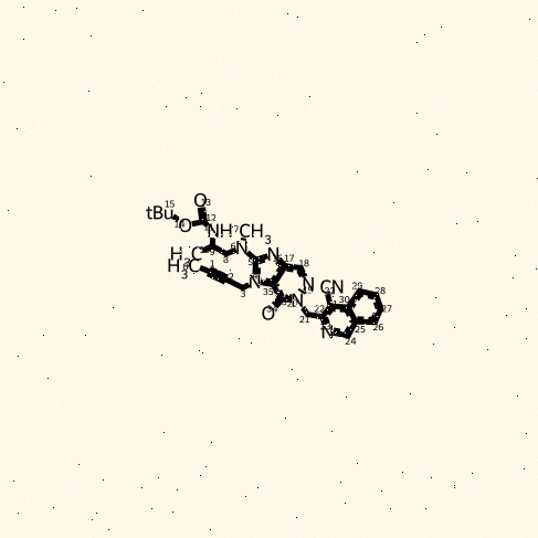 CC#CCn1c(N(C)CC(C)NC(=O)OC(C)(C)C)nc2cnn(Cc3ncc4ccccc4c3C#N)c(=O)c21